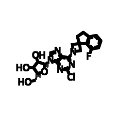 OC[C@H]1O[C@@H](n2cnc3c(N4CC5(CCc6cccc(F)c65)C4)nc(Cl)nc32)C(O)C1O